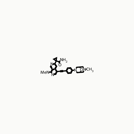 CNc1ncc(C#Cc2ccc(N3CC4CN(C)CC(C3)O4)cc2)c2cc(C3(C(N)=O)CC3)ncc12